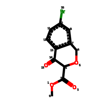 COC(=O)C1OCc2cc(Br)ccc2C1=O